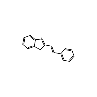 C(=Cc1ccccc1)C1=Nc2ccccc2C1